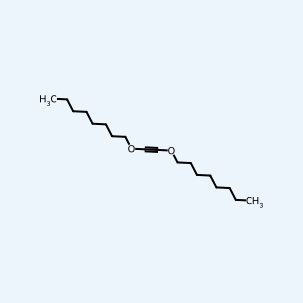 CCCCCCCCOC#COCCCCCCCC